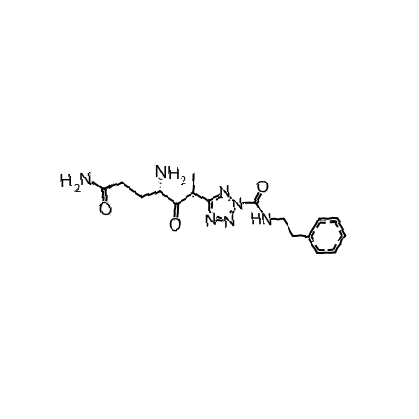 C[C](C(=O)[C@@H](N)CCC(N)=O)c1nnn(C(=O)NCCc2ccccc2)n1